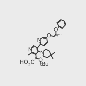 Cc1ncc(-c2ccc(OC[C@@H](C)Oc3ccccc3)cn2)c(N2CCC(C)(C)CC2)c1[C@H](OC(C)(C)C)C(=O)O